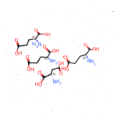 N[C@@H](CC(=O)O)C(=O)O.N[C@@H](CCC(=O)O)C(=O)O.N[C@@H](CCC(=O)O)C(=O)O.N[C@@H](CCC(=O)O)C(=O)O